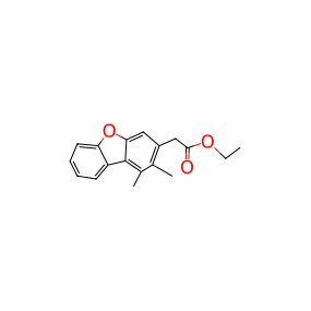 CCOC(=O)Cc1cc2oc3ccccc3c2c(C)c1C